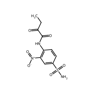 CCC(=O)C(=O)Nc1ccc(S(N)(=O)=O)cc1[N+](=O)[O-]